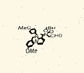 COc1ccc(CN(Cc2ccc(OC)cc2)c2ncccc2C(C)N(CC=O)C(=O)OC(C)(C)C)cc1